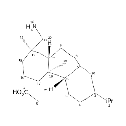 CC(=O)O.CC(C)C1CC[C@H]2C(CC[C@H]3[C@](C)(CN)CCC[C@]23C)C1